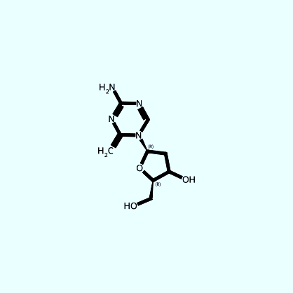 C=C1N=C(N)N=CN1[C@H]1CC(O)[C@@H](CO)O1